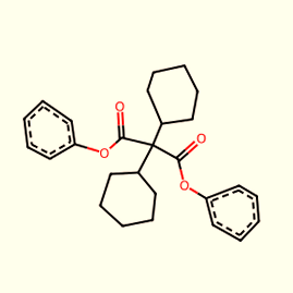 O=C(Oc1ccccc1)C(C(=O)Oc1ccccc1)(C1CCCCC1)C1CCCCC1